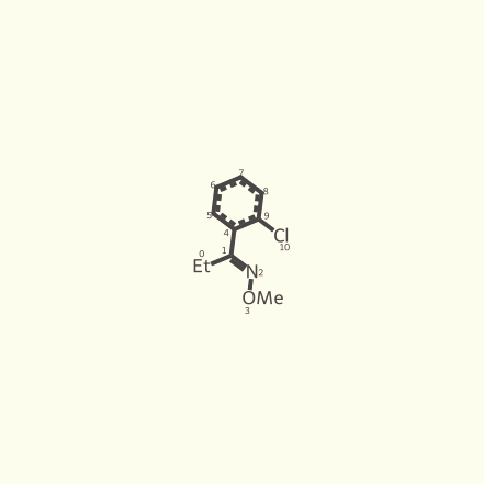 CCC(=NOC)c1ccccc1Cl